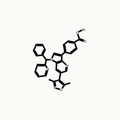 Cc1noc(C)c1-c1cnc2c(-c3ccc(C(=O)OC(C)C)cc3)cn(C(c3ccccc3)c3ccccn3)c2c1